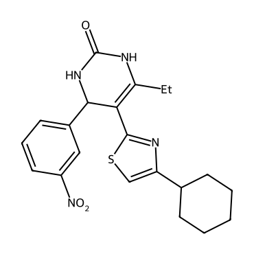 CCC1=C(c2nc(C3CCCCC3)cs2)C(c2cccc([N+](=O)[O-])c2)NC(=O)N1